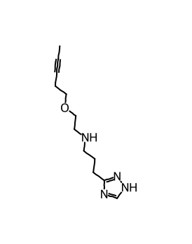 CC#CCCOCCNCCCc1nc[nH]n1